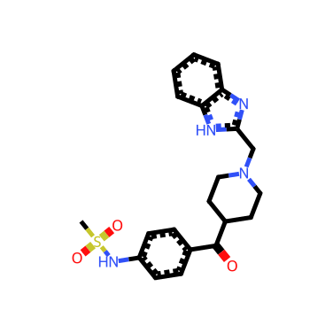 CS(=O)(=O)Nc1ccc(C(=O)C2CCN(Cc3nc4ccccc4[nH]3)CC2)cc1